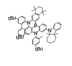 Cc1cc(C(C)(C)C)ccc1N1c2cc(N3c4ccccc4C4(C)CCCCCC34C)ccc2B2c3cc4c(cc3N(c3ccc(C(C)(C)C)cc3-c3ccccc3)c3cc(C(C)(C)C)cc1c32)C(C)(C)CCC4(C)C